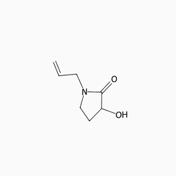 C=CCN1CCC(O)C1=O